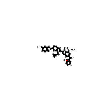 COc1cc(C(=O)N2CC3CCC2[C@@H]3N)cc2nc(-c3cc4ccc(-n5cc6cc(O)ccc6n5)nc4n3CC3CC3)n(C)c12